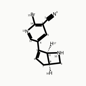 N#Cc1cc(C2=CC[C@@H]3CN[C@H]23)cnc1Br